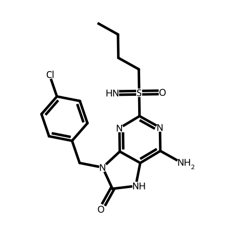 CCCCS(=N)(=O)c1nc(N)c2[nH]c(=O)n(Cc3ccc(Cl)cc3)c2n1